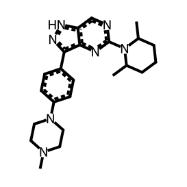 CC1CCCC(C)N1c1ncc2[nH]nc(-c3ccc(N4CCN(C)CC4)cc3)c2n1